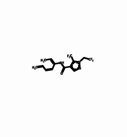 C=C/C=C\C(=C/C)NC(=O)c1cnn(CC(F)(F)F)c1C(F)(F)F